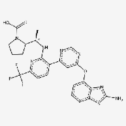 C[C@@H](Nc1nc(C(F)(F)F)ccc1-c1cc(Oc2cccc3sc(N)nc23)ncn1)C1CCCN1C(=O)O